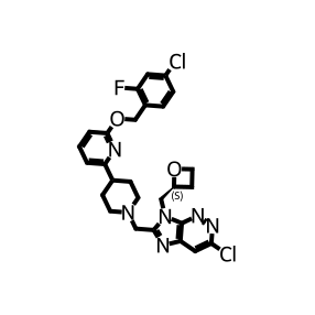 Fc1cc(Cl)ccc1COc1cccc(C2CCN(Cc3nc4cc(Cl)nnc4n3C[C@@H]3CCO3)CC2)n1